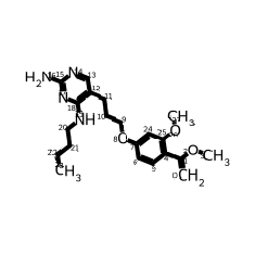 C=C(OC)c1ccc(OCCCc2cnc(N)nc2NCCCC)cc1OC